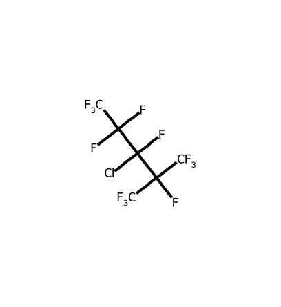 FC(F)(F)C(F)(F)C(F)(Cl)C(F)(C(F)(F)F)C(F)(F)F